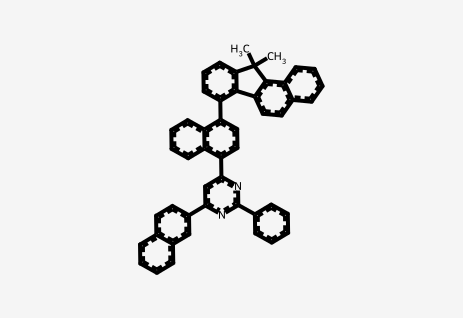 CC1(C)c2cccc(-c3ccc(-c4cc(-c5ccc6ccccc6c5)nc(-c5ccccc5)n4)c4ccccc34)c2-c2ccc3ccccc3c21